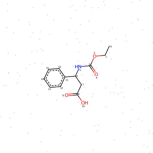 CCOC(=O)NC(CC(=O)O)c1ccccc1